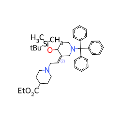 CCOC(=O)C1CCN(C/C=C2/CN(C(c3ccccc3)(c3ccccc3)c3ccccc3)CCC2O[Si](C)(C)C(C)(C)C)CC1